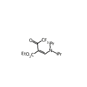 CCOC(=O)C(=CN(C(C)C)C(C)C)C(=O)C(F)(F)F